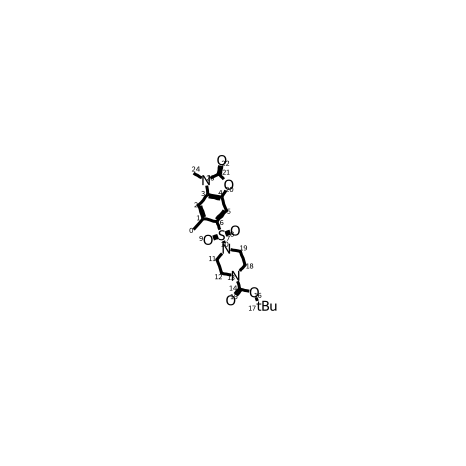 Cc1cc2c(cc1S(=O)(=O)N1CCN(C(=O)OC(C)(C)C)CC1)oc(=O)n2C